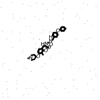 Cc1c(OC2CCN(C)CC2)ccc2cc(NC(=O)NCc3ccc(Oc4ccccc4)cc3)c(=O)oc12